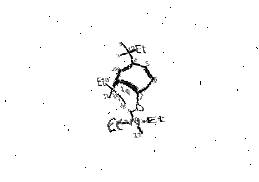 CCC(C)(C)c1ccc(OC[N+](C)(CC)CC)c(C(C)(C)CC)c1